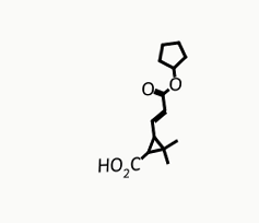 CC1(C)C(/C=C/C(=O)OC2CCCC2)C1C(=O)O